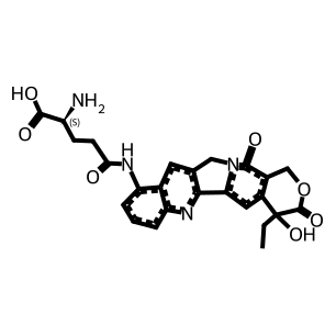 CCC1(O)C(=O)OCc2c1cc1n(c2=O)Cc2cc3c(NC(=O)CC[C@H](N)C(=O)O)cccc3nc2-1